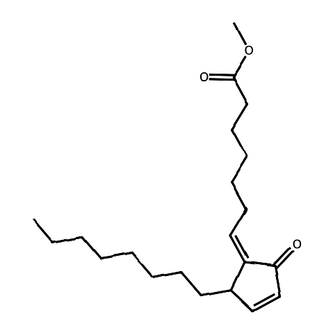 CCCCCCCCC1C=CC(=O)C1=CCCCCCC(=O)OC